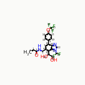 C=CC(=O)NCc1cc(-c2ccc(OC(F)(F)F)cc2)c2ncn(C(F)F)c2c1[C@H](O)CO